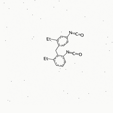 CCc1cc(N=C=O)ccc1Cc1c(CC)cccc1N=C=O